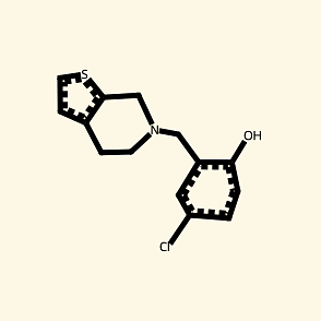 Oc1ccc(Cl)cc1CN1CCc2ccsc2C1